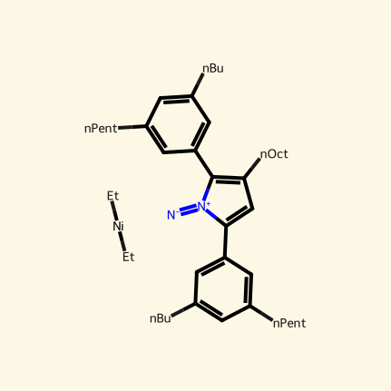 CCCCCCCCC1=C(c2cc(CCCC)cc(CCCCC)c2)[N+](=[N-])C(c2cc(CCCC)cc(CCCCC)c2)=C1.C[CH2][Ni][CH2]C